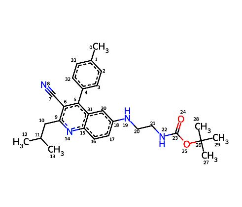 Cc1ccc(-c2c(C#N)c(CC(C)C)nc3ccc(NCCNC(=O)OC(C)(C)C)cc23)cc1